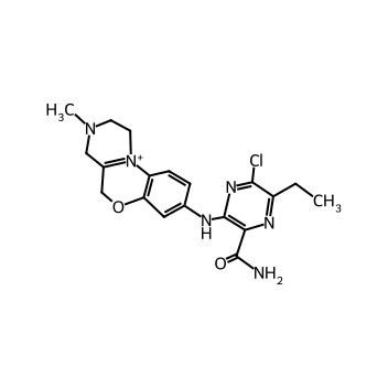 CCc1nc(C(N)=O)c(Nc2ccc3c(c2)OCC2=[N+]3CCN(C)C2)nc1Cl